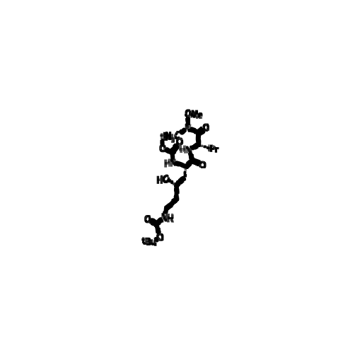 CON(C)C(=O)[C@@H](NC(=O)[C@H](C[C@@H](O)CCNC(=O)OC(C)(C)C)NC(=O)OC(C)(C)C)C(C)C